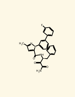 Cc1cc(C(=O)N[C@@H](Cc2ccccc2)C(=O)C(N)=O)n(-c2cccc(-c3cccc(F)c3)c2)n1